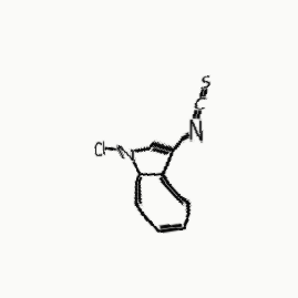 S=C=Nc1cn(Cl)c2ccccc12